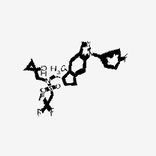 C[C@]12Cc3cnn(-c4ccc(F)cc4)c3C=C1CC[C@@H]2CN(CC1(O)CC1)S(=O)(=O)CC(F)(F)F